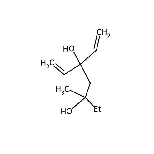 C=CC(O)(C=C)CC(C)(O)CC